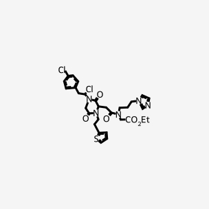 CCOC(=O)CN(CCCn1ccnc1)C(=O)CC1C(=O)N(C(Cl)Cc2ccc(Cl)cc2)CC(=O)N1CCc1cccs1